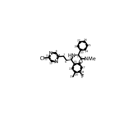 CNC(=O)[C@@H](N[C@H](CCc1cnc(Cl)cn1)c1ccc(F)c(C)c1)c1ccccc1